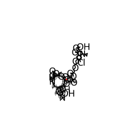 CC[C@H]1OC(=O)[C@H](C)[C@@H](O[C@H]2C[C@@](C)(OC)[C@@H](OC(=O)CCOCCOc3cc4c(=O)c(C(=O)O)cn(C5CC5)c4cc3Cl)[C@H](C)O2)[C@H](C)[C@@H](O[C@@H]2O[C@H](C)C[C@H](N(C)C)[C@H]2O)[C@](C)(O)C[C@@H](C)CN(C)[C@H](C)[C@H]2OC(=O)O[C@@]21C